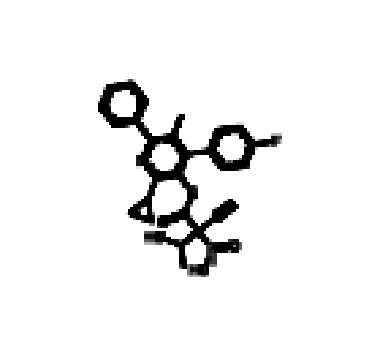 C#CC(C(=O)Oc1c(C2CC2)nc(-c2ccccc2)c(C)c1-c1ccc(F)cc1)(C(C)O)[PH](=O)O